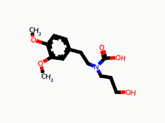 COc1ccc(CCN(CCCO)C(=O)O)cc1OC